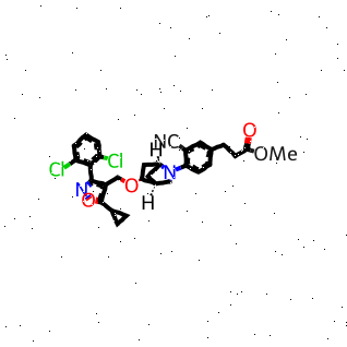 COC(=O)CCc1ccc(N2C[C@@H]3C[C@H]2C[C@H]3OCc2c(-c3c(Cl)cccc3Cl)noc2C2CC2)c(C#N)c1